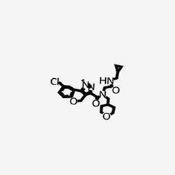 Cn1nc(C(=O)N(CC(=O)NCC2CC2)CC2CCOCC2)c2c1-c1cc(Cl)ccc1OC2